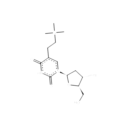 C[Si](C)(C)CCc1cn([C@H]2C[C@H](O)[C@@H](CO)O2)c(=O)[nH]c1=O